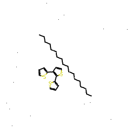 CCCCCCCCCCCCCCCCCC.c1csc(-c2ccsc2-c2cccs2)c1